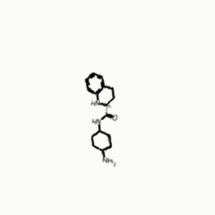 NC1CCC(NC(=O)[C@H]2CCc3ccccc3N2)CC1